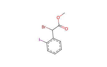 COC(=O)C(Br)c1ccccc1I